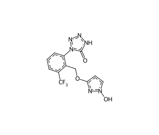 O=c1[nH]nnn1-c1cccc(C(F)(F)F)c1COc1ccn(O)n1